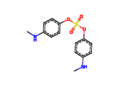 CNc1ccc(OS(=O)(=O)Oc2ccc(NC)cc2)cc1